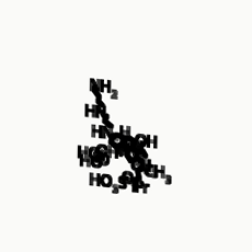 CC(C)[C@@H](CC[C@@H](C)[C@H]1CC[C@H]2[C@@H]3[C@H](O)C[C@H]4C[C@@H](NCCCNCCCCN)CC[C@]4(C)[C@H]3CC[C@]12C)OS(=O)(=O)O.O=P(O)(O)O